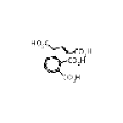 O=C(O)C=CCC(=O)O.O=C(O)c1ccccc1C(=O)O